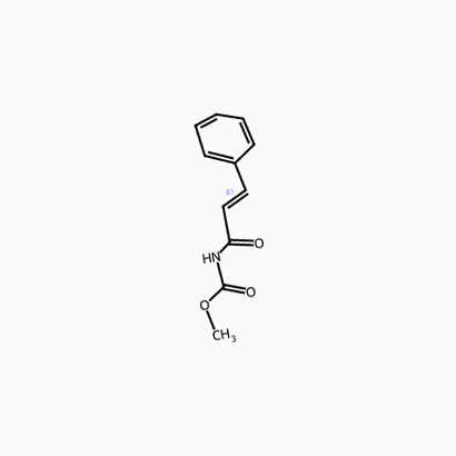 COC(=O)NC(=O)/C=C/c1ccccc1